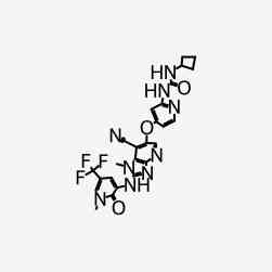 Cn1cc(C(F)(F)F)cc(Nc2nc3ncc(Oc4ccnc(NC(=O)NC5CCC5)c4)c(C#N)c3n2C)c1=O